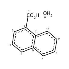 O.O=C(O)c1cccc2ccccc12